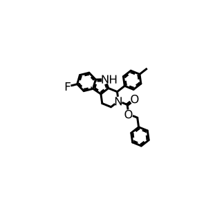 Cc1ccc(C2c3[nH]c4ccc(F)cc4c3CCN2C(=O)OCc2ccccc2)cc1